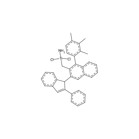 Cc1ccc(-c2c([CH2][Ti]([NH2])([Cl])[Cl])c(C3C(c4ccccc4)=Cc4ccccc43)cc3ccccc23)c(C)c1C